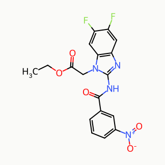 CCOC(=O)Cn1c(NC(=O)c2cccc([N+](=O)[O-])c2)nc2cc(F)c(F)cc21